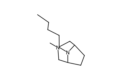 CCCCCN1C2CCC1CN(C)C2